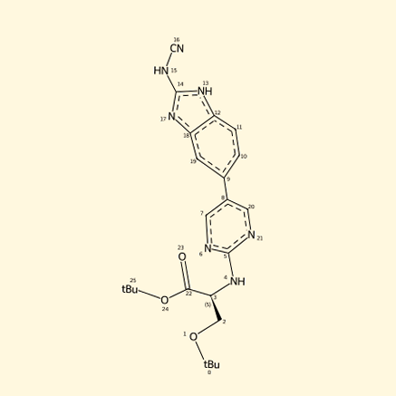 CC(C)(C)OC[C@H](Nc1ncc(-c2ccc3[nH]c(NC#N)nc3c2)cn1)C(=O)OC(C)(C)C